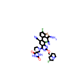 N#Cc1cc2c(N3CCC[C@]4(C3)NC(=O)NC4=O)nc(OC[C@@]34CCCN3C[C@H](F)C4)nc2c(F)c1-c1ccc(F)c2sc(N)c(C#N)c12